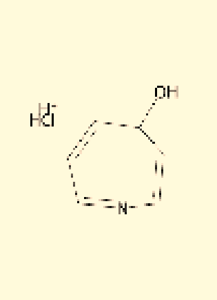 Cl.OC1C=CC=NC=C1.[H+]